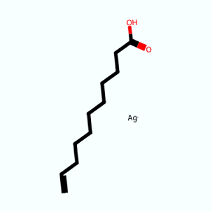 C=CCCCCCCCCC(=O)O.[Ag]